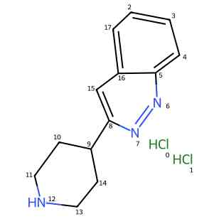 Cl.Cl.c1ccc2nnc(C3CCNCC3)cc2c1